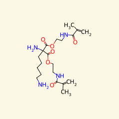 C=C(C)C(=O)NCCOC(=O)C(N)(CCCCCN)C(=O)OCCNC(=O)C(=C)C